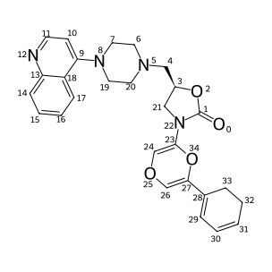 O=C1O[C@H](CN2CCN(c3ccnc4ccccc34)CC2)CN1C1=COC=C(C2=CC=CCC2)O1